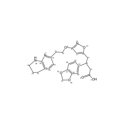 O=C(O)CC(Cc1cc(OCCc2ccc3c(n2)NCCC3)no1)c1ccc2c(c1)OCO2